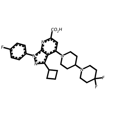 O=C(O)c1cc(N2CCC(N3CCC(F)(F)CC3)CC2)c2c(C3CCC3)nn(-c3ccc(F)cc3)c2n1